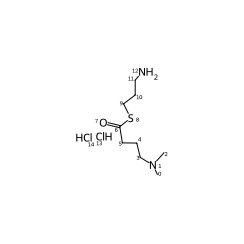 CN(C)CCCC(=O)SCCCN.Cl.Cl